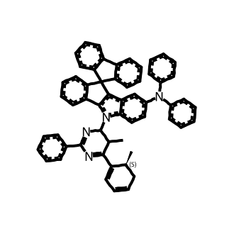 CC1C(C2=CC=CC[C@@H]2C)=NC(c2ccccc2)=NC1n1c2c(c3cc(N(c4ccccc4)c4ccccc4)ccc31)C1(c3ccccc3-c3ccccc31)c1ccccc1-2